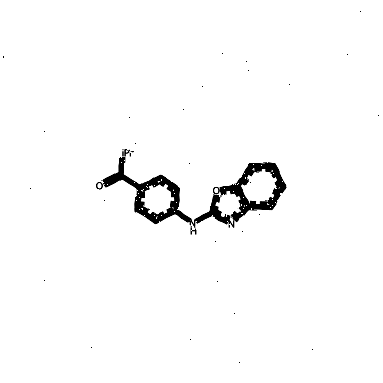 CC(C)C(=O)c1ccc(Nc2nc3ccccc3o2)cc1